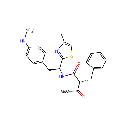 COC(=O)[C@@H](Cc1ccccc1)C(=O)N[C@@H](Cc1ccc(NS(=O)(=O)O)cc1)c1nc(C)cs1